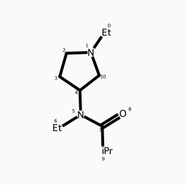 CCN1CCC(N(CC)C(=O)C(C)C)C1